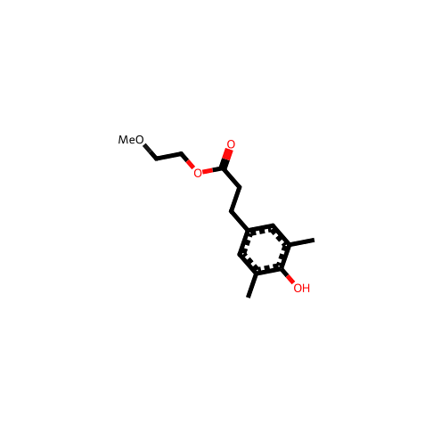 COCCOC(=O)CCc1cc(C)c(O)c(C)c1